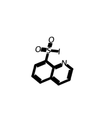 O=S(=O)(I)c1cccc2cccnc12